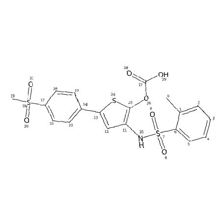 Cc1ccccc1S(=O)(=O)Nc1cc(-c2ccc(S(C)(=O)=O)cc2)sc1OC(=O)O